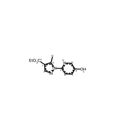 CCOC(=O)c1cnn(-c2ccc(O)cn2)c1C